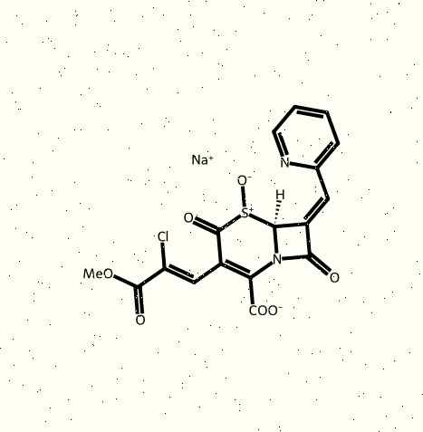 COC(=O)/C(Cl)=C/C1=C(C(=O)[O-])N2C(=O)/C(=C/c3ccccn3)[C@@H]2[S+]([O-])C1=O.[Na+]